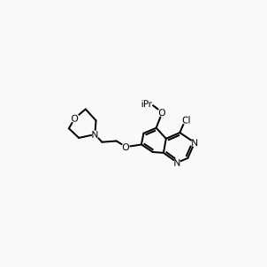 CC(C)Oc1cc(OCCN2CCOCC2)cc2ncnc(Cl)c12